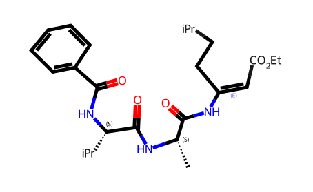 CCOC(=O)/C=C(\CCC(C)C)NC(=O)[C@H](C)NC(=O)[C@@H](NC(=O)c1ccccc1)C(C)C